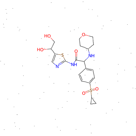 O=C(Nc1ncc(C(O)CO)s1)C(NC1CCOCC1)c1ccc(S(=O)(=O)C2CC2)cc1